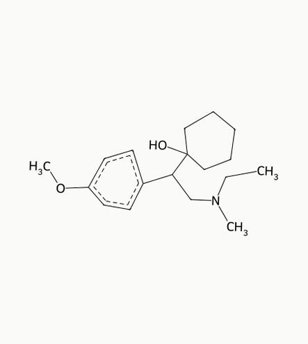 CCN(C)CC(c1ccc(OC)cc1)C1(O)CCCCC1